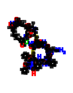 COc1cc2cc(c1Cl)N(C)C(=O)C[C@H](OC(=O)[C@H](C)N(C)C(=O)CCSSC[C@H](NC(=O)[C@@H]1CSSC[C@H](NC(=O)[C@@H](Cc3ccccc3)NC(=O)Nc3ccccc3)C(=O)N[C@@H](Cc3ccc(O)cc3)C(=O)N[C@H](Cc3c[nH]c4ccccc34)C(=O)N[C@@H](CCCCN)C(=O)N[C@@H]([C@@H](C)O)C(=O)N1)C(N)=O)[C@]1(C)OC1[C@H](C)[C@@H]1C[C@@](O)(NC(=O)O1)[C@H](OC)/C=C/C=C(\C)C2